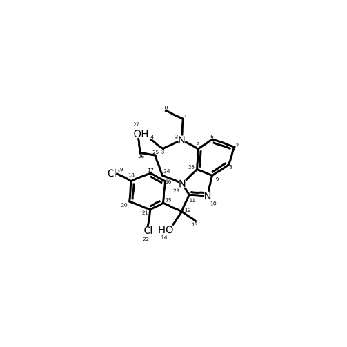 CCN(CC)c1cccc2nc(C(C)(O)c3ccc(Cl)cc3Cl)n(CCCO)c12